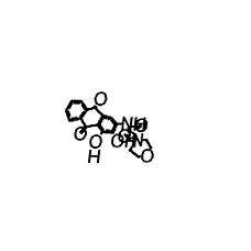 O=C1c2ccccc2C(=O)c2c1cc(NS(=O)(=O)N1CCOCC1)c(O)c2O